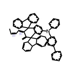 C=C1/C(=C\C=C/C)C2(c3ccccc3-c3ccccc32)c2ccc(N(c3ccccc3)c3ccc(-c4ccccc4)cc3)cc2C12C1=CCC=CC=C1C1C=CC=CC12